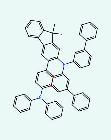 CC1(C)c2ccccc2-c2cc(-c3ccc(N(c4ccccc4)c4ccccc4)cc3)c(N(c3cccc(-c4ccccc4)c3)c3cccc(-c4ccccc4)c3)cc21